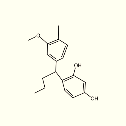 CCCC(c1ccc(C)c(OC)c1)c1ccc(O)cc1O